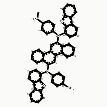 C[SiH2]c1ccc(N(c2cc3c4ccccc4c(N(c4ccc([SiH3])cc4)c4cccc5c4oc4ccccc45)cc3c3ccccc23)c2cccc3c2oc2ccccc23)cc1